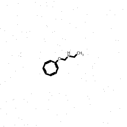 CCNCOC1=C/C=C\C=C/C=C\1